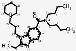 CCCCN(CCCC)C(=O)c1ccc2nc(CC)n(CCCN3CCCCC3)c2c1